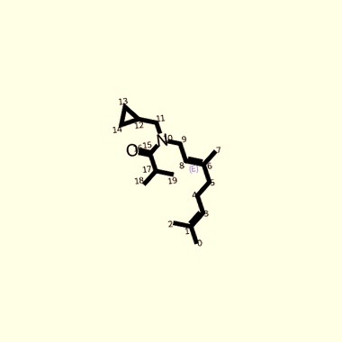 CC(C)=CCC/C(C)=C/CN(CC1CC1)C(=O)C(C)C